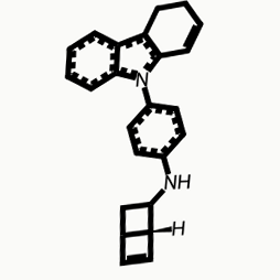 C1=Cc2c(c3ccccc3n2-c2ccc(NC3CC4C=C[C@H]43)cc2)CC1